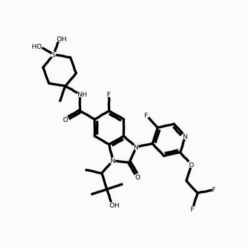 CC(n1c(=O)n(-c2cc(OCC(F)F)ncc2F)c2cc(F)c(C(=O)NC3(C)CCS(O)(O)CC3)cc21)C(C)(C)O